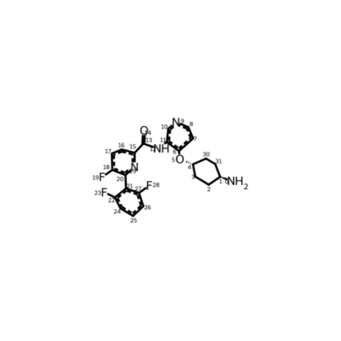 N[C@H]1CC[C@H](Oc2ccncc2NC(=O)c2ccc(F)c(-c3c(F)cccc3F)n2)CC1